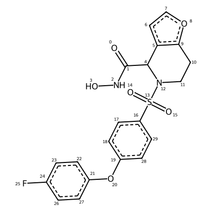 O=C(NO)C1c2ccoc2CCN1S(=O)(=O)c1ccc(Oc2ccc(F)cc2)cc1